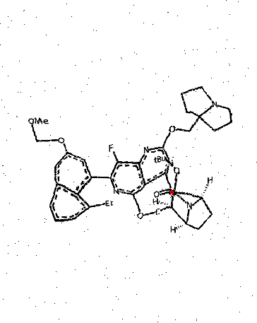 CCc1cccc2cc(OCOC)cc(-c3nc4c5c(nc(OCC67CCCN6CCC7)nc5c3F)N3C[C@H]5CC[C@@H]([C@H]3CO4)N5C(=O)OC(C)(C)C)c12